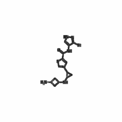 CCc1n[nH]cc1NC(=O)c1cc(C2CC2NC2CC(N)C2)cs1